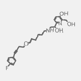 OCc1nc(C(O)CNCCCCCCOCCC#Cc2ccc(F)cc2)ccc1O